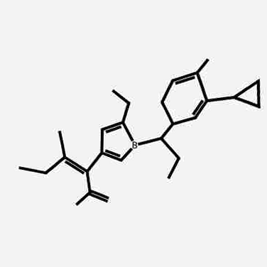 C=C(C)/C(C1=CB(C(CC)C2C=C(C3CC3)C(C)=CC2)C(CC)=C1)=C(/C)CC